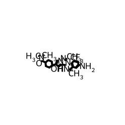 Cc1nc(N[C@H](C)c2cc(N)cc(C(F)(F)F)c2)c2cc(C3(O)CCC(C(=O)N(C)C)CC3)cn2n1